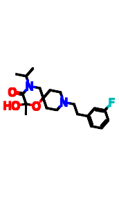 CC(C)N1CC2(CCN(CCc3cccc(F)c3)CC2)OC(C)(O)C1=O